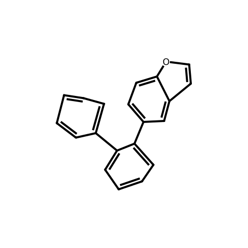 c1ccc(-c2ccccc2-c2ccc3occc3c2)cc1